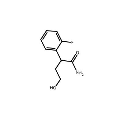 NC(=O)[C](CCO)c1ccccc1F